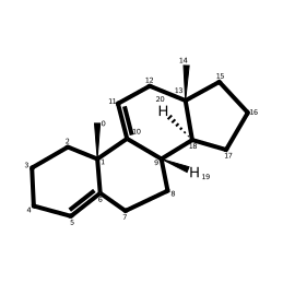 C[C@]12CCCC=C1CC[C@@H]1C2=CC[C@]2(C)CCC[C@@H]12